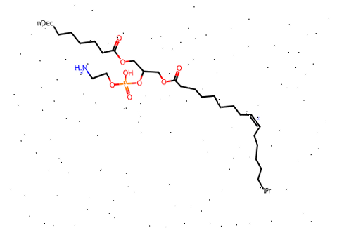 CCCCCCCCCCCCCCCC(=O)OCC(COC(=O)CCCCCCC/C=C\CCCCCC(C)C)OP(=O)(O)OCCN